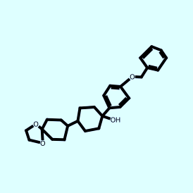 OC1(c2ccc(OCc3ccccc3)cc2)CCC(C2CCC3(CC2)OCCO3)CC1